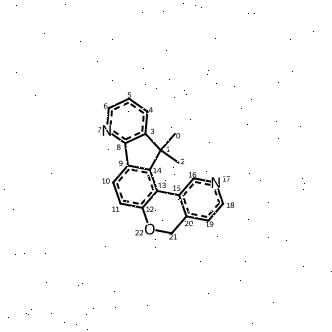 CC1(C)c2cccnc2-c2ccc3c(c21)-c1cnccc1CO3